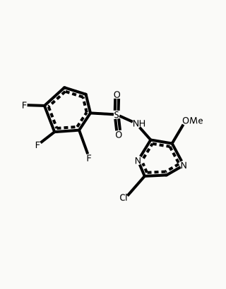 COc1ncc(Cl)nc1NS(=O)(=O)c1ccc(F)c(F)c1F